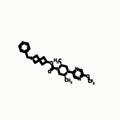 C[C@@H]1CN(c2cnc(OC(F)(F)F)cn2)[C@H](C)CN1C(=O)OC1CC2(C1)CN(Cc1ccccc1)C2